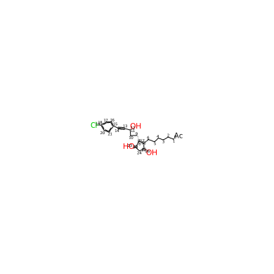 CC(=O)CCCCCC[C@@H]1[C@@H](CCC(O)C#Cc2ccc(Cl)cc2)[C@H](O)C[C@@H]1O